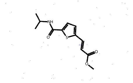 COC(=O)/C=C/c1ccc(C(=O)NC(C)C)s1